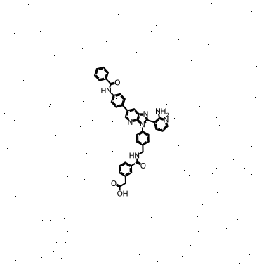 Nc1ncccc1-c1nc2cc(-c3ccc(NC(=O)c4ccccc4)cc3)cnc2n1-c1ccc(CNC(=O)c2cccc(CC(=O)O)c2)cc1